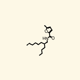 CCCCCCC(CCCC)CNC(=O)c1ccc(C)o1